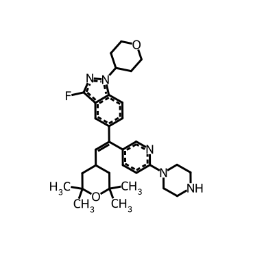 CC1(C)CC(C=C(c2ccc(N3CCNCC3)nc2)c2ccc3c(c2)c(F)nn3C2CCOCC2)CC(C)(C)O1